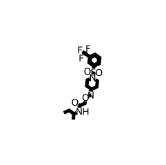 CCC(C)NC(=O)CON=C1CCN(S(=O)(=O)c2cccc(C(F)(F)F)c2)CC1